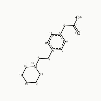 [O]C(=O)Cc1ccc(CCN2CCCCC2)cc1